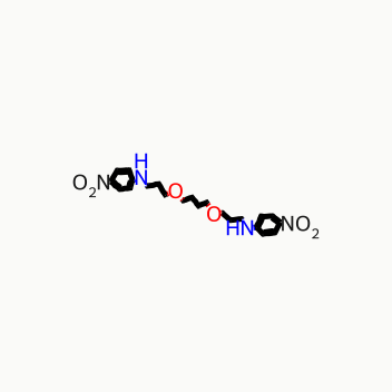 O=[N+]([O-])c1ccc(NCCCOCCCCOCCCNc2ccc([N+](=O)[O-])cc2)cc1